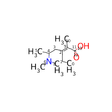 CCC(CC(C)N(C)C)=C(C)C(=O)O